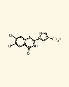 O=C(O)c1cnn(-c2nc3cc(Cl)c(Cl)cc3c(=O)[nH]2)c1